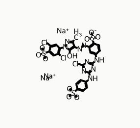 Cc1nn(-c2cc(Cl)c(S(=O)(=O)[O-])cc2Cl)c(O)c1/N=N/c1cc(Nc2nc(Cl)nc(Nc3ccc(S(=O)(=O)[O-])cc3)n2)ccc1S(=O)(=O)[O-].[Na+].[Na+].[Na+]